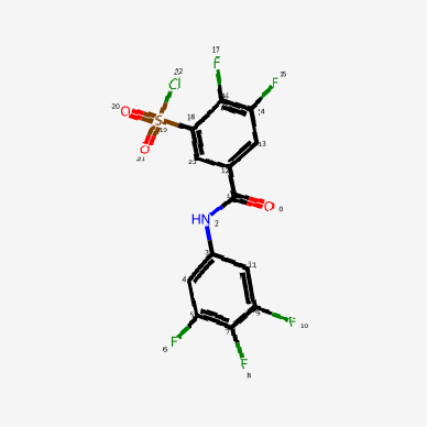 O=C(Nc1cc(F)c(F)c(F)c1)c1cc(F)c(F)c(S(=O)(=O)Cl)c1